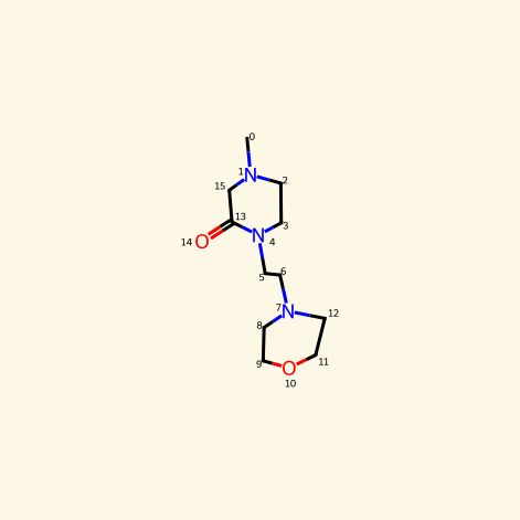 CN1CCN(CCN2CCOCC2)C(=O)C1